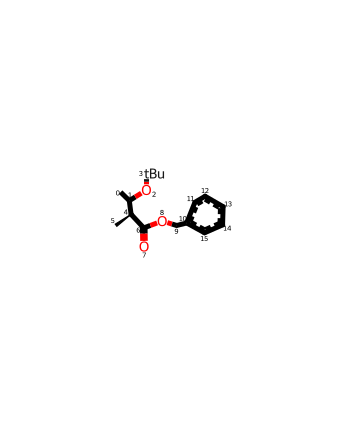 CC(OC(C)(C)C)[C@H](C)C(=O)OCc1ccccc1